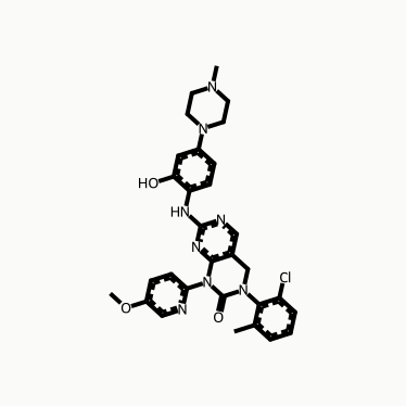 COc1ccc(N2C(=O)N(c3c(C)cccc3Cl)Cc3cnc(Nc4ccc(N5CCN(C)CC5)cc4O)nc32)nc1